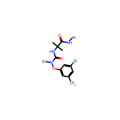 CCN(Oc1cc(Br)cc(C(F)(F)F)c1)C(=O)NC(C)(C)C(=O)NC(C)C